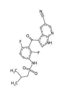 CC(C)CS(=O)(=O)Nc1ccc(F)c(C(=O)c2c[nH]c3ncc(C#N)cc23)c1F